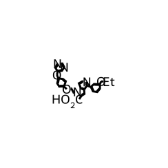 CCOc1cccc(-c2nccc3c2cc(C(=O)O)n3CCOc2ccc(Oc3cncnc3)cc2)c1